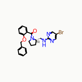 O=C(c1ccccc1OCc1ccccc1)N1CCC[C@H]1CNc1ncc(Br)cn1